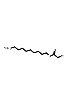 CCCCCCCCCCCCCCCCCOC(=O)CCl